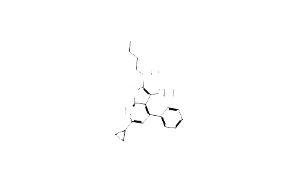 CCCC[S+]([O-])c1sc2nc(C3CC3)cc(-c3ccccc3)c2c1N